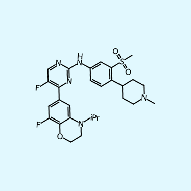 CC(C)N1CCOc2c(F)cc(-c3nc(Nc4ccc(C5CCN(C)CC5)c(S(C)(=O)=O)c4)ncc3F)cc21